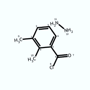 Cc1cccc(C(=O)Cl)c1C.NN